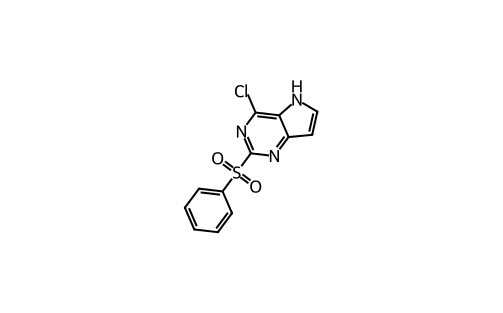 O=S(=O)(c1ccccc1)c1nc(Cl)c2[nH]ccc2n1